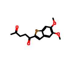 COc1cc2cc(C(=O)CCC(C)=O)sc2cc1OC